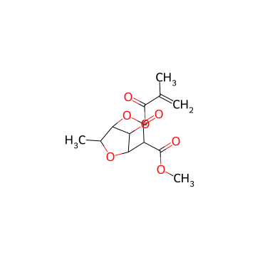 C=C(C)C(=O)OC1C2OC(=O)C(C(=O)OC)C1OC2C